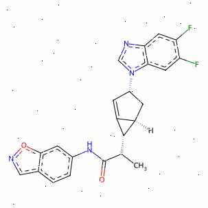 CC(C(=O)Nc1ccc2cnoc2c1)[C@@H]1C2=C[C@H](n3cnc4cc(F)c(F)cc43)C[C@H]21